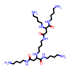 NCCCCNC(=O)CC(NCCCCNC(=O)CC(NCCCCN)C(=O)NCCCCN)C(=O)NCCCCN